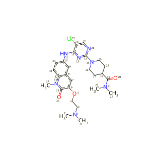 CN(C)CCOc1cc2cc(Nc3nc(N4CCC(C(=O)N(C)C)CC4)ncc3Cl)ccc2n(C)c1=O